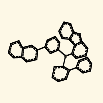 c1ccc(-c2ccccc2N(c2cccc(-c3ccc4ccccc4c3)c2)c2cccc3sc4ccccc4c23)cc1